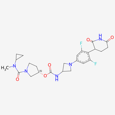 CN(C(=O)N1CC[C@H](OC(=O)NC2CN(c3cc(F)c(C4CCC(=O)NC4=O)c(F)c3)C2)C1)C1CC1